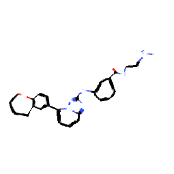 CN(C)CCNC(=O)c1cccc(Nc2nc3cccc(-c4ccc5c(c4)CCCCO5)n3n2)c1